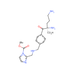 CC(C)(C)OC(=O)n1ccnc1CNCc1ccc(C(=O)[C@](N)(CCCN)C(=O)O)cc1